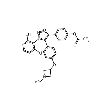 CCCN1CC(Oc2ccc(-c3c(-c4c(C)cccc4Cl)noc3-c3ccc(OC(=O)C(F)(F)F)cc3)cc2)C1